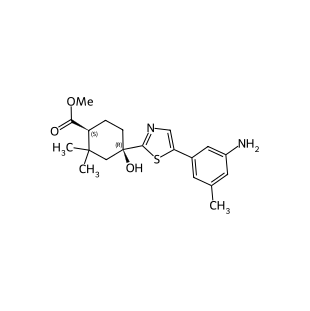 COC(=O)[C@H]1CC[C@](O)(c2ncc(-c3cc(C)cc(N)c3)s2)CC1(C)C